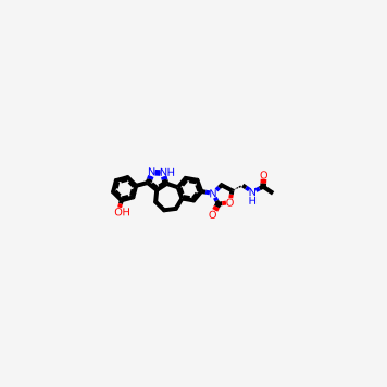 CC(=O)NC[C@H]1CN(c2ccc3c(c2)CCCc2c(-c4cccc(O)c4)n[nH]c2-3)C(=O)O1